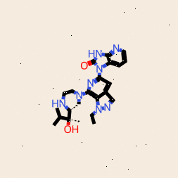 CCn1ncc2cc(-n3c(=O)[nH]c4ncccc43)nc(N3CCN[C@@H]([C@@](C)(O)C(C)C)C3)c21